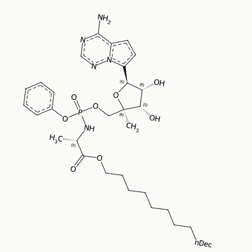 CCCCCCCCCCCCCCCCCCOC(=O)[C@H](C)NP(=O)(OC[C@@]1(C)O[C@@H](c2ccc3c(N)ncnn23)[C@H](O)[C@@H]1O)Oc1ccccc1